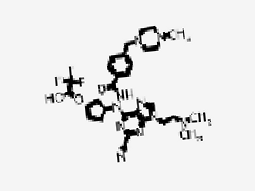 CN(C)CCn1cnc2c(N(NC(=O)c3ccc(CN4CCN(C)CC4)cc3)C3CCCC3)nc(C#N)nc21.O=C(O)C(F)(F)F